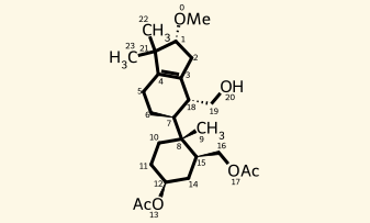 CO[C@@H]1CC2=C(CC[C@H]([C@@]3(C)CC[C@H](OC(C)=O)C[C@@H]3COC(C)=O)[C@H]2CO)C1(C)C